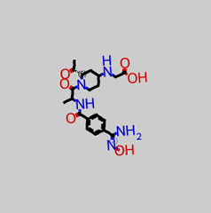 CC(=O)[C@@H]1CC(NCC(=O)O)CCN1C(=O)C(C)NC(=O)c1ccc(/C(N)=N/O)cc1